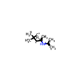 C=C(C)NC(=C)CC(C)(C)C